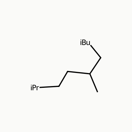 CCC(C)CC(C)CCC(C)C